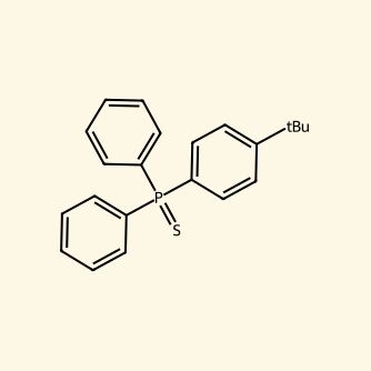 CC(C)(C)c1ccc(P(=S)(c2ccccc2)c2ccccc2)cc1